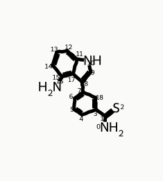 NC(=S)c1cccc(-c2c[nH]c3cccc(N)c23)c1